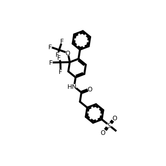 CS(=O)(=O)c1ccc(CC(=O)NC2=CC=C(c3ccccc3)C(OC(F)(F)F)(C(F)(F)F)C2)cc1